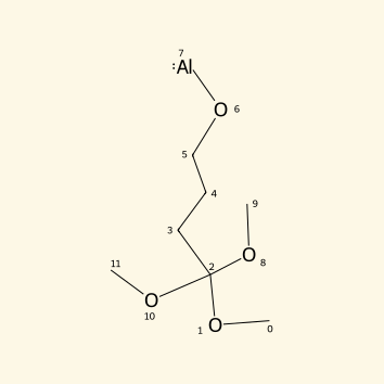 COC(CCC[O][Al])(OC)OC